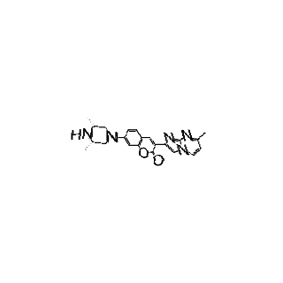 Cc1ccn2cc(-c3cc4ccc(N5C[C@@H](C)N[C@@H](C)C5)cc4oc3=O)nc2n1